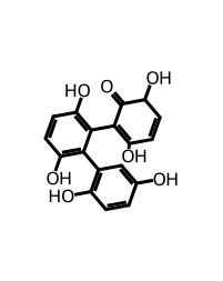 O=C1C(c2c(O)ccc(O)c2-c2cc(O)ccc2O)=C(O)C=CC1O